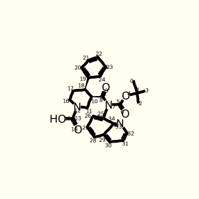 CC(C)(C)OC(=O)N(C(=O)[C@H]1CN(C(=O)O)CC[C@H]1c1ccccc1)c1cccc2cccnc12